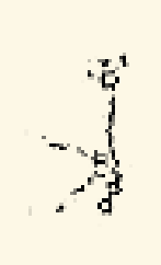 CC(=O)OC[C@H]1C[C@@H](OCCOCCOCCNC(=O)C(Cc2ccc(-c3ccc(O)cc3)cc2)N(CC(=O)NCCOCCOCCO)CC(=O)NCCOCCOCCO)C[C@@H](OC(C)=O)[C@H]1OC(C)=O